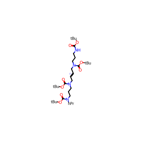 CCCN(CCCN(C/C=C/CN(CCCNC(=O)OC(C)(C)C)C(=O)OC(C)(C)C)C(=O)OC(C)(C)C)C(=O)OC(C)(C)C